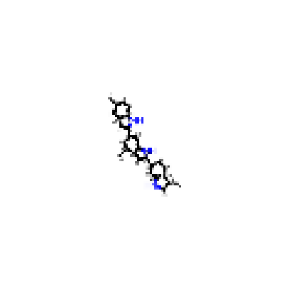 Cc1ccc2[nH]c(-c3cc(C)c4cc(-c5ccc6c(C)c[nH]c6c5)[nH]c4c3)cc2c1